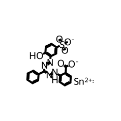 O=C([O-])c1ccccc1NN=C(N=Nc1cc(S(=O)(=O)[O-])ccc1O)c1ccccc1.[Sn+2]